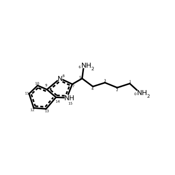 NCCCCC(N)c1nc2ccccc2[nH]1